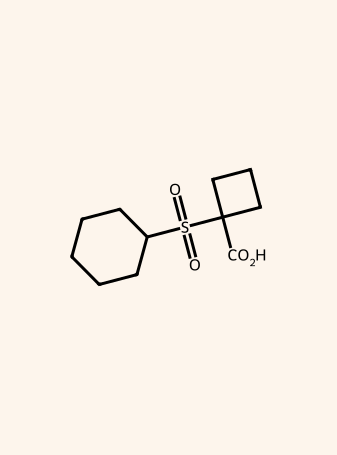 O=C(O)C1(S(=O)(=O)C2CCCCC2)CCC1